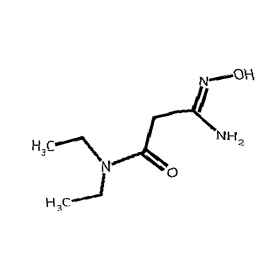 CCN(CC)C(=O)C/C(N)=N/O